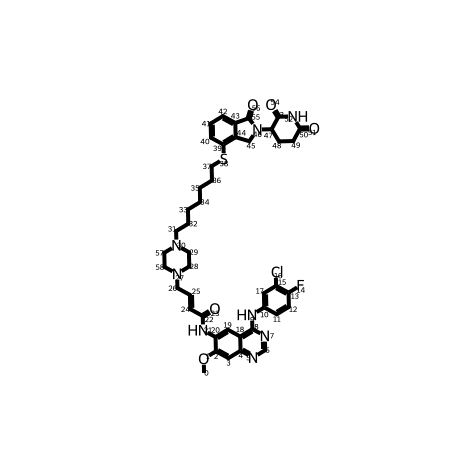 COc1cc2ncnc(Nc3ccc(F)c(Cl)c3)c2cc1NC(=O)/C=C/CN1CCN(CCCCCCCSc2cccc3c2CN(C2CCC(=O)NC2=O)C3=O)CC1